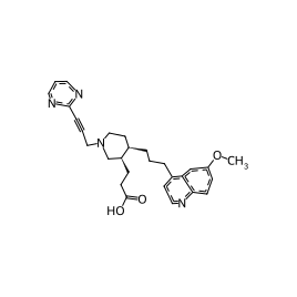 COc1ccc2nccc(CCC[C@@H]3CCN(CC#Cc4ncccn4)C[C@@H]3CCC(=O)O)c2c1